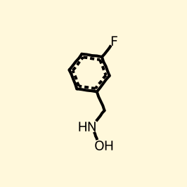 ONCc1cccc(F)c1